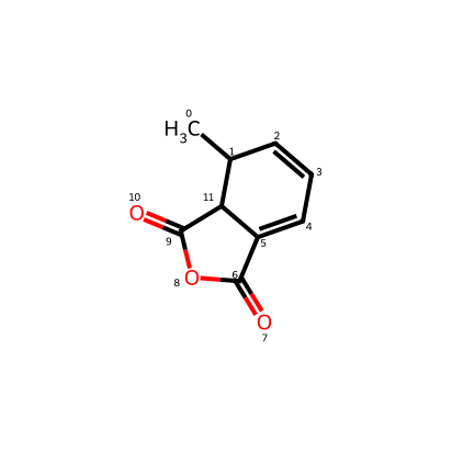 CC1C=CC=C2C(=O)OC(=O)C21